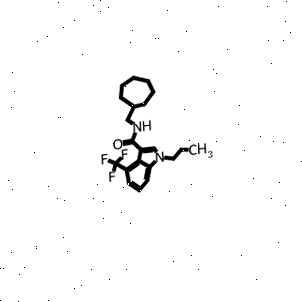 CCCn1cc(C(=O)NCC2CCCCCC2)c2c(C(F)(F)F)cccc21